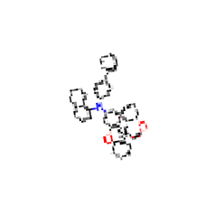 c1ccc(-c2ccc(N(c3ccc4c(c3)Oc3ccccc3[Si]43c4ccccc4Oc4ccccc43)c3cccc4ccccc34)cc2)cc1